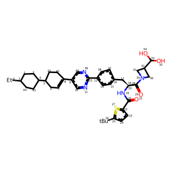 CCC1CCC(C2CC=C(c3cnc(-c4ccc(C[C@H](NC(=O)c5ccc(C(C)(C)C)s5)C(=O)N5CC(C(O)O)C5)cc4)nc3)CC2)CC1